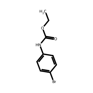 [CH2]COC(=O)Nc1ccc(Br)cc1